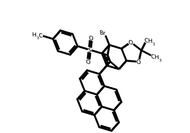 Cc1ccc(S(=O)(=O)C2=C(c3ccc4ccc5cccc6ccc3c4c56)C3C=CC2(Br)C2OC(C)(C)OC32)cc1